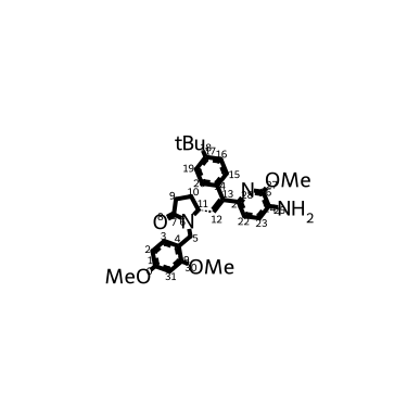 COc1ccc(CN2C(=O)CC[C@@H]2/C=C(\c2ccc(C(C)(C)C)cc2)c2ccc(N)c(OC)n2)c(OC)c1